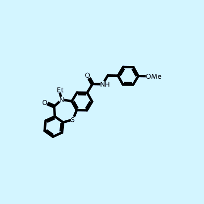 CCN1C(=O)c2ccccc2Sc2ccc(C(=O)NCc3ccc(OC)cc3)cc21